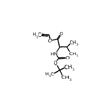 C=COC(=O)C(NC(=O)OC(C)(C)C)C(C)C